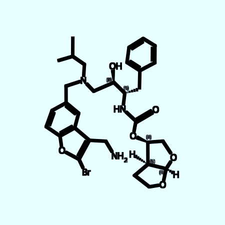 CC(C)CN(Cc1ccc2oc(Br)c(CN)c2c1)C[C@@H](O)[C@H](Cc1ccccc1)NC(=O)O[C@H]1CO[C@H]2OCC[C@H]21